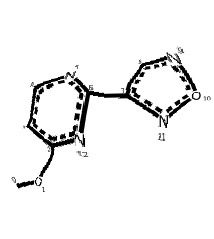 COc1ccnc(-c2cnon2)n1